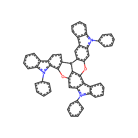 c1ccc(-n2c3ccccc3c3cc4c(cc32)Oc2c3c(cc5c2c2ccccc2n5-c2ccccc2)Oc2c(ccc5c6ccccc6n(-c6ccccc6)c25)B43)cc1